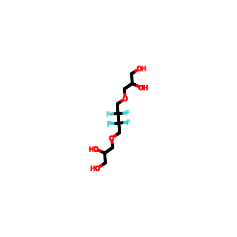 OCC(O)COCC(F)(F)C(F)(F)COCC(O)CO